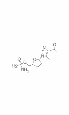 CC(=O)c1ncn([C@H]2CC[C@@H](COP(N)(=O)S)O2)c1C